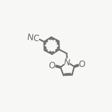 N#Cc1ccc(CN2C(=O)C=CC2=O)cc1